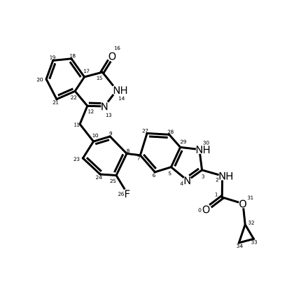 O=C(Nc1nc2cc(-c3cc(Cc4n[nH]c(=O)c5ccccc45)ccc3F)ccc2[nH]1)OC1CC1